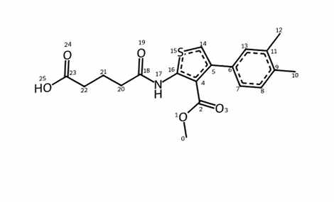 COC(=O)c1c(-c2ccc(C)c(C)c2)csc1NC(=O)CCCC(=O)O